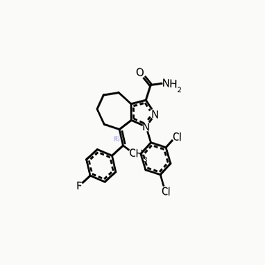 C/C(=C1/CCCCc2c(C(N)=O)nn(-c3ccc(Cl)cc3Cl)c21)c1ccc(F)cc1